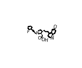 COc1ccc2nccc(CCC[C@@H]3CCN(CC#Cc4ccccc4F)C[C@@H]3CC(=O)O)c2c1